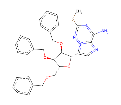 CSc1nc(N)c2ncc([C@@H]3O[C@H](COCc4ccccc4)[C@@H](OCc4ccccc4)[C@H]3OCc3ccccc3)n2n1